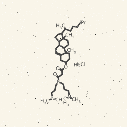 CC(C)CCCC(C)C1CCC2C3CC=C4CC(OC(=O)CC(=O)N(CCCN(C)C)CCCN(C)C)CCC4(C)C3CCC12C.Cl.Cl